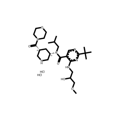 COCC(O)CNc1nc(C(C)(C)C)ncc1C(=O)N(CC(C)C)[C@@H]1CNC[C@H](C(=O)N2CCOCC2)C1.Cl.Cl